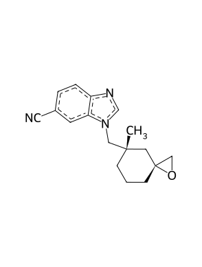 C[C@]1(Cn2cnc3ccc(C#N)cc32)CCC[C@]2(CO2)C1